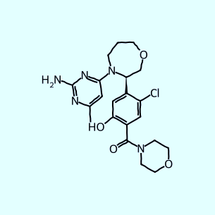 Cc1cc(N2CCCOC[C@H]2c2cc(O)c(C(=O)N3CCOCC3)cc2Cl)nc(N)n1